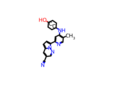 Cc1cnc(-c2ccc3cc(C#N)cnn23)cc1NC12CCC(O)(CC1)CC2